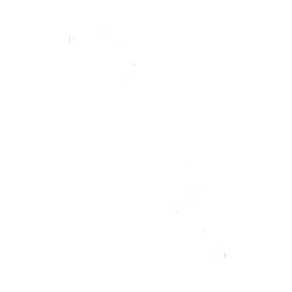 CCCCC/C=C\CC=CCCCCCCCCOC(=O)CCCBr